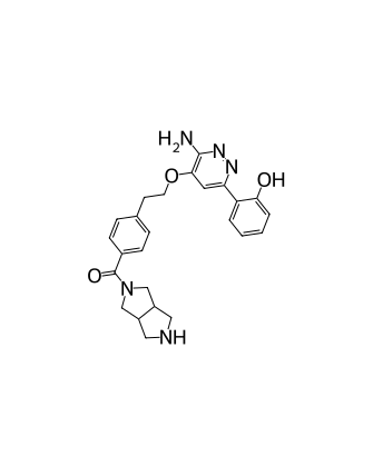 Nc1nnc(-c2ccccc2O)cc1OCCc1ccc(C(=O)N2CC3CNCC3C2)cc1